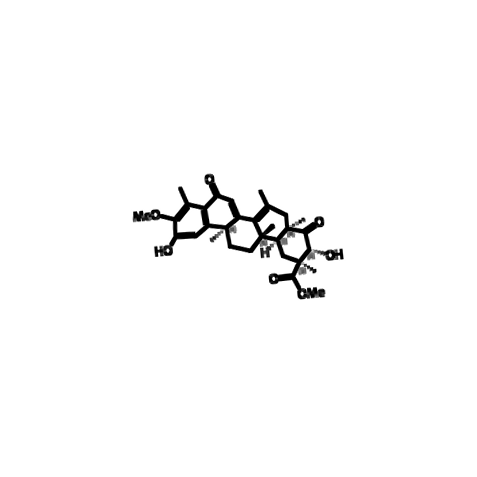 COC(=O)[C@@]1(C)C[C@@H]2[C@@](C)(CC(C)=C3C4=CC(=O)c5c(cc(O)c(OC)c5C)[C@]4(C)CC[C@]32C)C(=O)[C@@H]1O